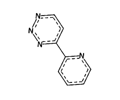 c1ccc(-c2ccnnn2)nc1